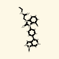 CCOC(=O)Cn1c(=O)n(-c2ccc(-c3cncc4c3cnn4C)cc2)c2c(C)cccc21